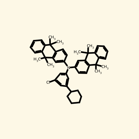 CC1(C)c2ccccc2C(C)(C)c2cc(N(c3cc(Cl)cc(C4CCCCC4)c3)c3ccc4c(c3)C(C)(C)c3ccccc3C4(C)C)ccc21